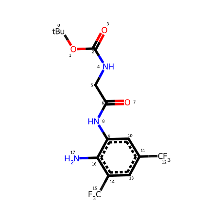 CC(C)(C)OC(=O)NCC(=O)Nc1cc(C(F)(F)F)cc(C(F)(F)F)c1N